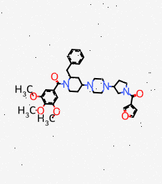 COc1cc(C(=O)N2CCC(N3CCN(C4CCN(C(=O)c5ccoc5)C4)CC3)CC2Cc2ccccc2)cc(OC)c1OC